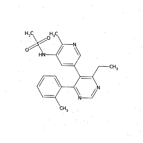 CCc1ncnc(-c2ccccc2C)c1-c1cnc(C)c(NS(C)(=O)=O)c1